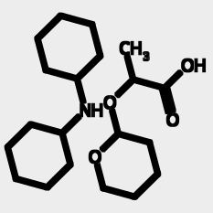 C1CCC(NC2CCCCC2)CC1.CC(OC1CCCCO1)C(=O)O